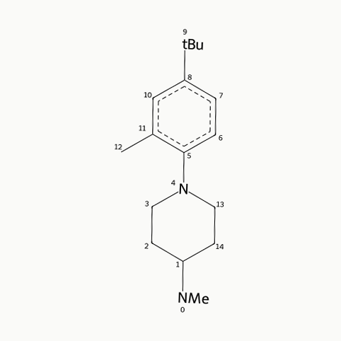 CNC1CCN(c2ccc(C(C)(C)C)cc2C)CC1